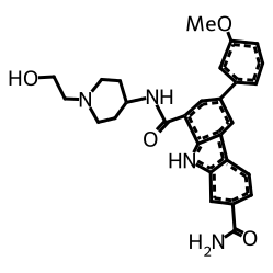 COc1cccc(-c2cc(C(=O)NC3CCN(CCO)CC3)c3[nH]c4cc(C(N)=O)ccc4c3c2)c1